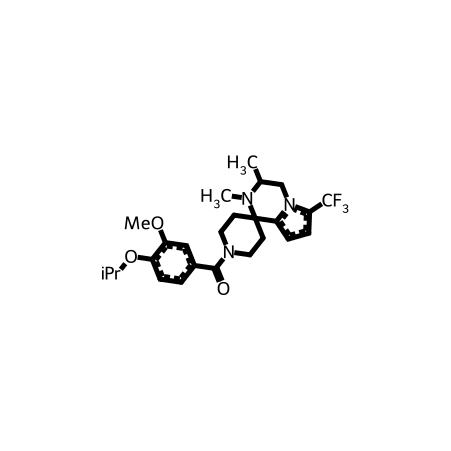 COc1cc(C(=O)N2CCC3(CC2)c2ccc(C(F)(F)F)n2CC(C)N3C)ccc1OC(C)C